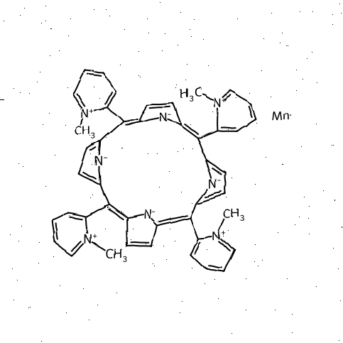 C[n+]1ccccc1/C1=c2\cc/c([n-]2)=C(\c2cccc[n+]2C)c2ccc([n-]2)/C(c2cccc[n+]2C)=c2/cc/c([n-]2)=C(\c2cccc[n+]2C)c2ccc1[n-]2.[Mn]